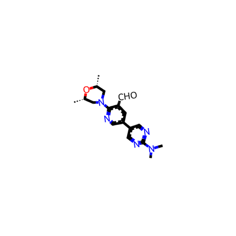 C[C@@H]1CN(c2ncc(-c3cnc(N(C)C)nc3)cc2C=O)C[C@H](C)O1